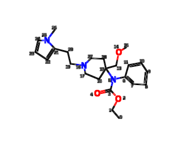 CCOC(=O)N(c1ccccc1)C1(COC)CCN(CCc2cccn2C)CC1